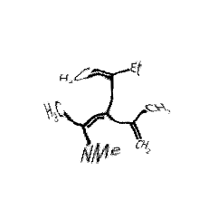 C=C(C)/C(C(=C)CC)=C(/C)NC